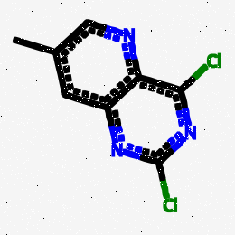 Cc1cnc2c(Cl)nc(Cl)nc2c1